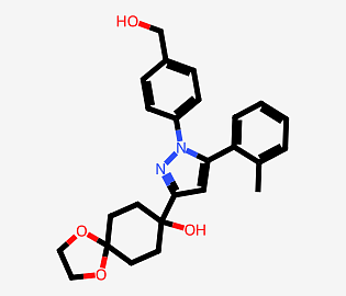 Cc1ccccc1-c1cc(C2(O)CCC3(CC2)OCCO3)nn1-c1ccc(CO)cc1